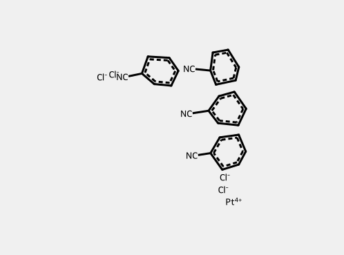 N#Cc1ccccc1.N#Cc1ccccc1.N#Cc1ccccc1.N#Cc1ccccc1.[Cl-].[Cl-].[Cl-].[Cl-].[Pt+4]